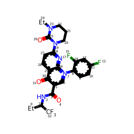 CCC(NC(=O)c1cn(-c2ccc(F)cc2F)c2nc(N3CCCN(CC)C3=O)ccc2c1=O)C(F)(F)F